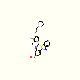 CCN(Cc1ccc(OCCN2CCCCC2)c(F)c1)c1cc(O)ccc1-c1nc2ccccc2s1